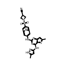 Cc1cc(Nc2nc(NC3=CC4=CC(S(=O)(=O)N5CC(C#N)C5)=CC(=C3)N4)nc3cc(C)sc23)n[nH]1